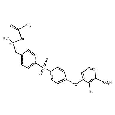 CCc1c(Oc2ccc(S(=O)(=O)c3ccc(C[C@@H](C)NC(=O)C(F)(F)F)cc3)cc2)cccc1C(=O)O